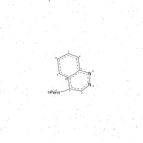 CCCCCc1cnnc2ccccc12